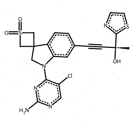 C[C@@](O)(C#Cc1ccc2c(c1)N(c1nc(N)ncc1Cl)CC21CS(=O)(=O)C1)c1nccs1